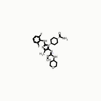 C=N/C(=N\c1c(C)nc(Nc2c(F)cccc2F)n1[C@H]1CC[C@@H](C(N)=O)CC1)NC1CCOCC1